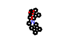 c1ccc(-c2ccc(-c3ccccc3N(c3ccc4c(c3)-c3ccccc3C4(c3ccccc3)c3ccccc3)c3ccc4c(c3)C3(c5ccccc5-c5ccccc53)c3ccccc3-4)cc2)cc1